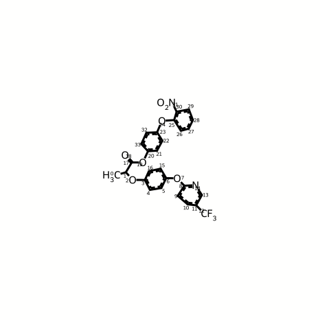 CC(Oc1ccc(Oc2ccc(C(F)(F)F)cn2)cc1)C(=O)Oc1ccc(Oc2ccccc2[N+](=O)[O-])cc1